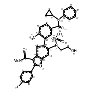 CNC(=O)c1c(-c2ccc(F)cc2)oc2cc(N(CCO)S(C)(=O)=O)c(-c3cc(C(=O)N(c4ccccc4)C4CC4)ccc3C)cc12